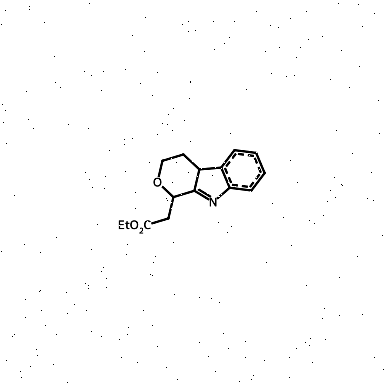 CCOC(=O)CC1OCCC2C1=Nc1ccccc12